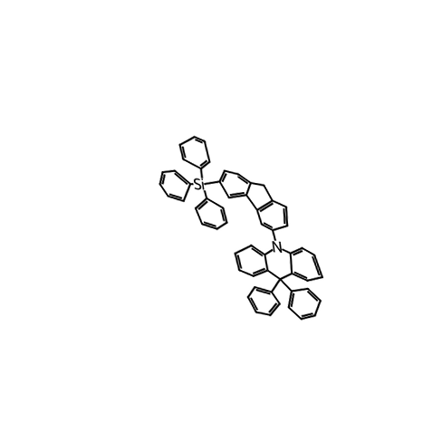 c1ccc(C2(c3ccccc3)c3ccccc3N(c3ccc4c(c3)-c3cc([Si](c5ccccc5)(c5ccccc5)c5ccccc5)ccc3C4)c3ccccc32)cc1